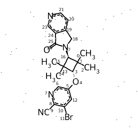 CC1(C)[C@H](Oc2cnc(C#N)c(Br)c2)C(C)(C)[C@H]1N1Cc2ccncc2C1=O